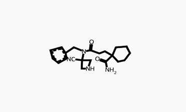 N#CC1(N(Cc2ccccc2)C(=O)[CH]CC2(C(N)=O)CCCCC2)CNC1